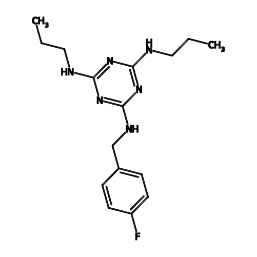 CCCNc1nc(NCCC)nc(NCc2ccc(F)cc2)n1